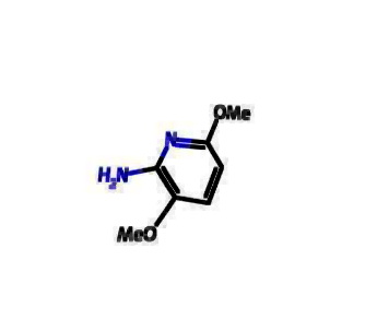 COc1ccc(OC)c(N)n1